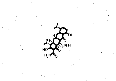 CN(C)c1ccc(O)c2c1C[C@H]1C[C@H]3[C@H](N(C)C)C(O)=C(C(N)=O)C(=O)[C@@]3(O)C(O)=C1C2=O.Cl